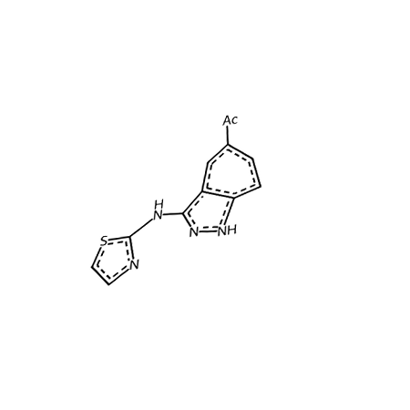 CC(=O)c1ccc2[nH]nc(Nc3nccs3)c2c1